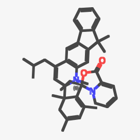 CC[C@@]1(C2=C(C)C=C(C)CC2(C)C2C=C(CC(C)C)c3cc4c(cc3N2C)C(C)(C)c2ccccc2-4)OC(=O)C2=CC=CCN21